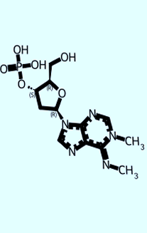 CN=c1c2ncn([C@H]3C[C@H](OP(=O)(O)O)[C@@H](CO)O3)c2ncn1C